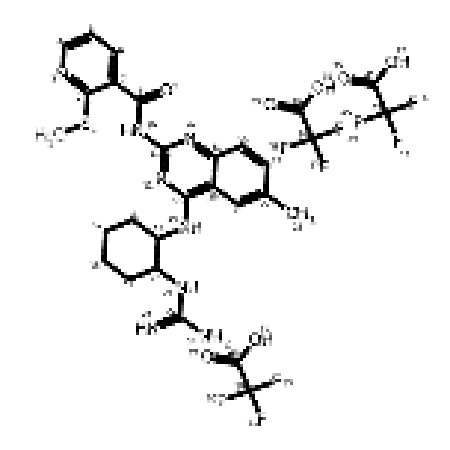 CSc1ncccc1C(=O)Nc1nc(NC2CCCCC2NC(=N)N)c2cc(C)ccc2n1.O=C(O)C(F)(F)F.O=C(O)C(F)(F)F.O=C(O)C(F)(F)F